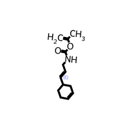 C=C(C)OC(=O)NC/C=C/C1CC=CCC1